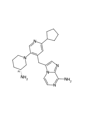 Nc1nccn2c(Cc3cc(C4CCCC4)ncc3N3CCC[C@@H](N)C3)cnc12